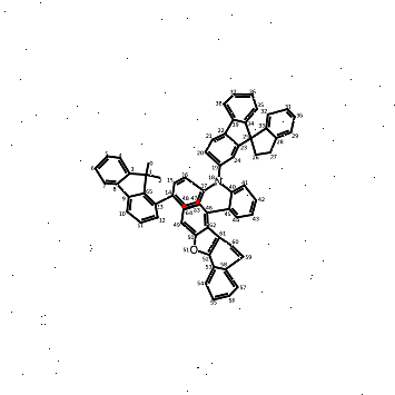 CC1(C)c2ccccc2-c2cccc(-c3ccc(N(c4ccc5c(c4)C4(CCc6ccccc64)c4ccccc4-5)c4ccccc4-c4cccc5oc6c7ccccc7ccc6c45)cc3)c21